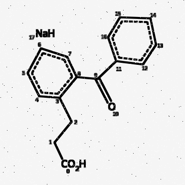 O=C(O)CCc1ccccc1C(=O)c1ccccc1.[NaH]